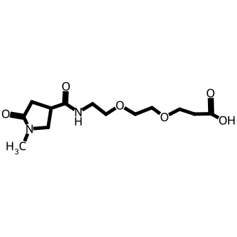 CN1CC(C(=O)NCCOCCOCCC(=O)O)CC1=O